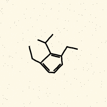 CCc1cccc(CC)c1[C](C)C